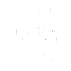 COc1cccc(CN(C(=O)c2cccc(C(F)(F)F)c2)[C@@H](C(N)=O)c2ccccc2)c1